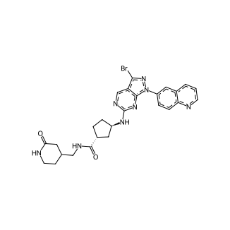 O=C1CC(CNC(=O)[C@@H]2CC[C@@H](Nc3ncc4c(Br)nn(-c5ccc6ncccc6c5)c4n3)C2)CCN1